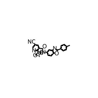 Cc1ccc(-c2nc3cc(NC(=O)c4cc(C#N)cnc4S(C)(=O)=O)ccc3o2)cc1